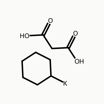 O=C(O)CC(=O)O.[K][CH]1CCCCC1